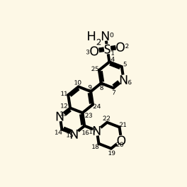 NS(=O)(=O)c1cncc(-c2ccc3ncnc(N4CCOCC4)c3c2)c1